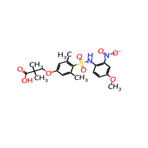 COc1ccc(NS(=O)(=O)c2c(C)cc(OCC(C)(C)C(=O)O)cc2C)c([N+](=O)[O-])c1